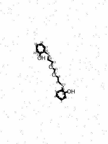 Oc1ccccc1SCCOCOCCSc1ccccc1O